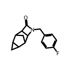 O=C1C2C3CC(C4CC43)C2N1Cc1ccc(F)cc1